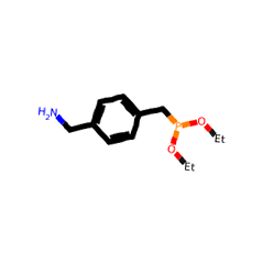 CCOP(Cc1ccc(CN)cc1)OCC